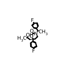 CC(O)C[C@]1(c2ccc(F)cc2)CCN([C@@H](C)c2ccc(F)cc2)C(=O)O1